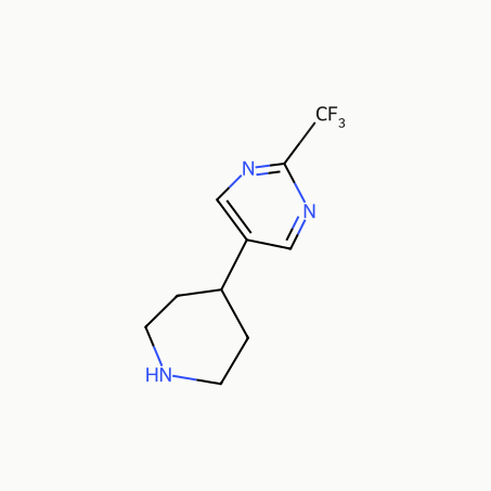 FC(F)(F)c1ncc(C2CCNCC2)cn1